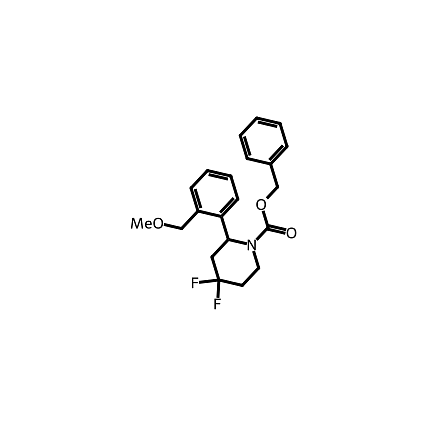 COCc1ccccc1C1CC(F)(F)CCN1C(=O)OCc1ccccc1